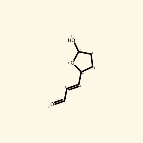 O=CC=CC1CCC(O)O1